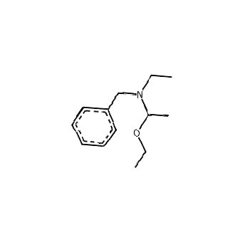 CCOC(C)N(CC)Cc1ccccc1